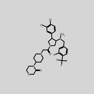 CN(Cc1ccc(C(F)(F)F)c(F)c1)C1CN(C(=O)CN2CCC(N3CCOCC3=O)CC2)CC1c1ccc(Cl)c(Cl)c1